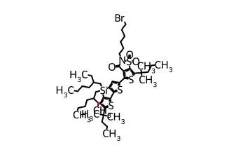 CCCCC(CC)C[Si]1(CC(CC)CCCC)c2cc(-c3sc(C(C)(C)CCC)c4c3C(=O)N(CCCCCCBr)S4(=O)=O)sc2-c2sc(C(C)(C)CCC)cc21